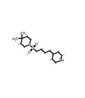 CC1(C)CCN(S(=O)(=O)CCCCC2CCNCC2)CC1